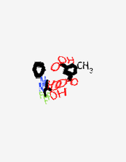 Cc1cc(C(=O)O)cc(C(=O)O)c1.O=C(O)c1cn(-c2ccccc2)nc1C(F)(F)F